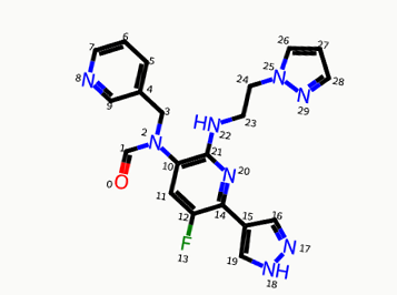 O=CN(Cc1cccnc1)c1cc(F)c(-c2cn[nH]c2)nc1NCCn1cccn1